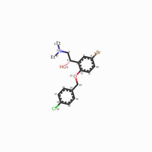 CCN(CC)C[C@@H](O)c1cc(Br)ccc1OCc1ccc(Cl)cc1